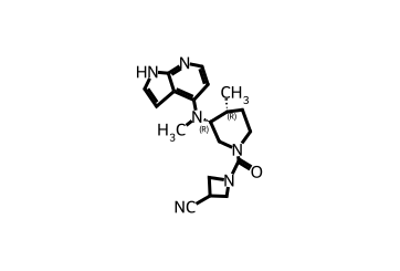 C[C@@H]1CCN(C(=O)N2CC(C#N)C2)C[C@@H]1N(C)c1ccnc2[nH]ccc12